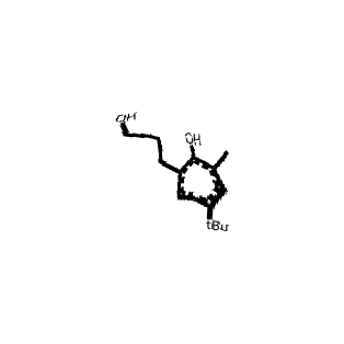 Cc1cc(C(C)(C)C)cc(CCCO)c1O